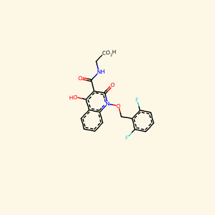 O=C(O)CNC(=O)c1c(O)c2ccccc2n(OCc2c(F)cccc2F)c1=O